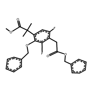 COC(=O)C(C)(C)c1cc(F)c(CC(=O)OCc2ccccc2)c(F)c1OCc1ccccc1